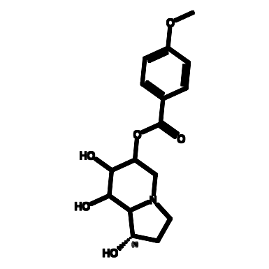 COc1ccc(C(=O)OC2CN3CC[C@H](O)C3C(O)C2O)cc1